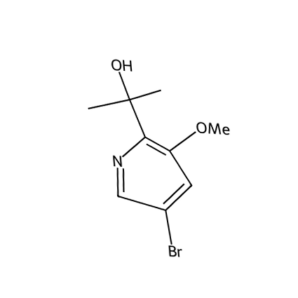 COc1cc(Br)cnc1C(C)(C)O